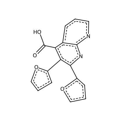 O=C(O)c1c(-c2ccco2)c(-c2ccco2)nc2ncccc12